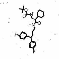 CN(C[C@H](C(=O)NCCCC(c1ccc(F)cc1)c1ccc(F)cc1)C1CCCCC1)C(=O)OC(C)(C)C